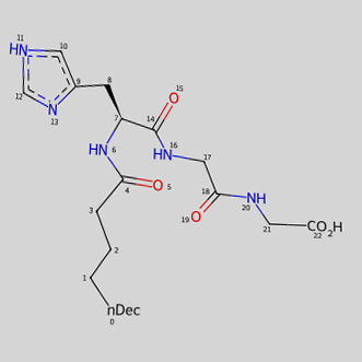 CCCCCCCCCCCCCC(=O)N[C@@H](Cc1c[nH]cn1)C(=O)NCC(=O)NCC(=O)O